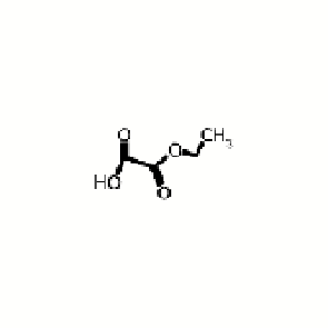 CCOC(=O)C(=O)O